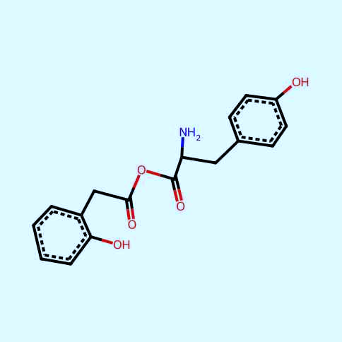 NC(Cc1ccc(O)cc1)C(=O)OC(=O)Cc1ccccc1O